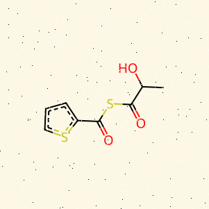 CC(O)C(=O)SC(=O)c1cccs1